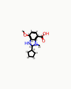 COc1ccc(C(=O)O)c2c1NC(C1CCCC1)N2C